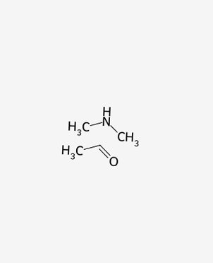 CC=O.CNC